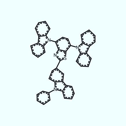 c1ccc(-n2c3ccccc3c3cc(-c4nc5c(-n6c7ccccc7c7ccccc76)ccc(-n6c7ccccc7c7ccccc76)c5s4)ccc32)cc1